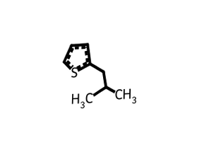 CC(C)Cc1cccs1